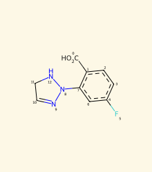 O=C(O)c1ccc(F)cc1N1N=CCN1